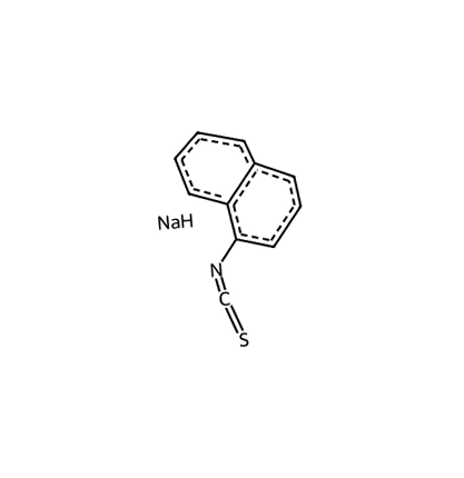 S=C=Nc1cccc2ccccc12.[NaH]